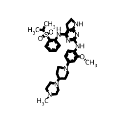 COc1cc(N2CCC(N3CCN(C)CC3)CC2)ccc1Nc1nc2c(c(Nc3ccccc3S(=O)(=O)C(C)C)n1)CCN2